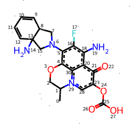 CC1COc2c(N3CC4C=CC=CC4(N)C3)c(F)c(N)c3c(=O)c(OC(=O)O)cn1c23